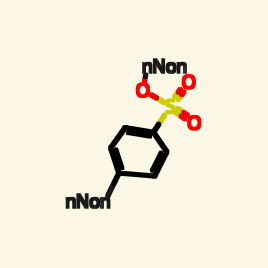 CCCCCCCCCOS(=O)(=O)c1ccc(CCCCCCCCC)cc1